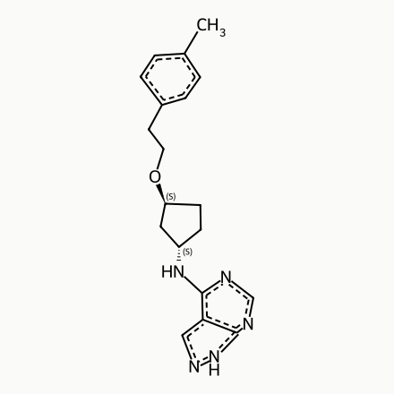 Cc1ccc(CCO[C@H]2CC[C@H](Nc3ncnc4[nH]ncc34)C2)cc1